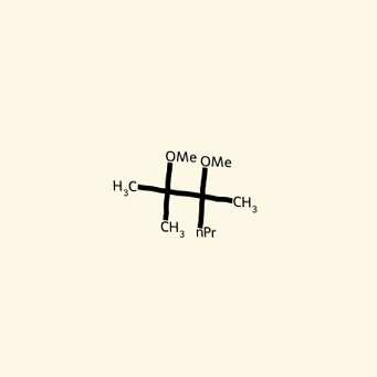 CCCC(C)(OC)C(C)(C)OC